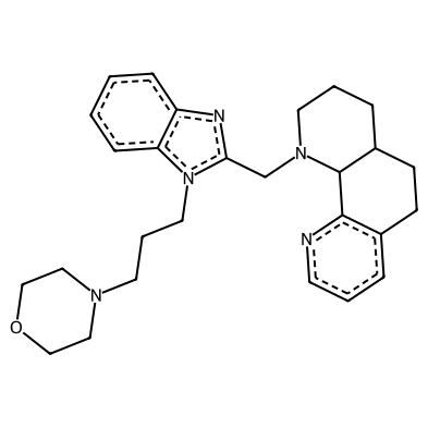 c1cnc2c(c1)CCC1CCCN(Cc3nc4ccccc4n3CCCN3CCOCC3)C21